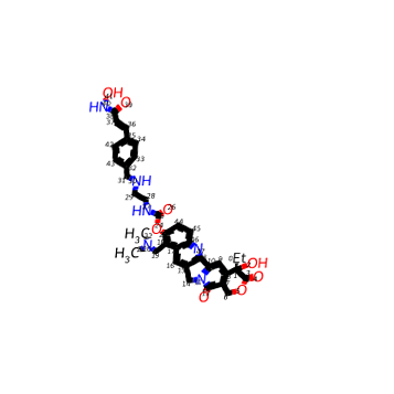 CC[C@@]1(O)C(=O)OCc2c1cc1n(c2=O)Cc2cc3c(CN(C)C)c(OC(=O)NCCNCc4ccc(/C=C/C(=O)NO)cc4)ccc3nc2-1